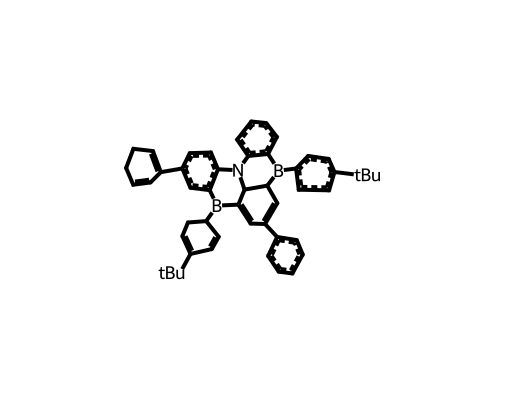 CC(C)(C)C1=CCC(B2C3=CC(c4ccccc4)=CC4B(c5ccc(C(C)(C)C)cc5)c5ccccc5N(c5ccc(C6=CCCC=C6)cc52)C34)C=C1